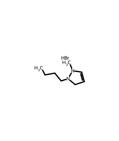 Br.CCCCN1CC=CN1C